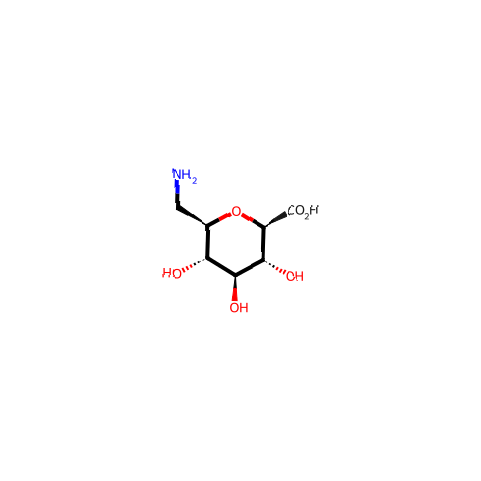 NC[C@H]1O[C@@H](C(=O)O)[C@H](O)[C@@H](O)[C@@H]1O